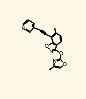 Cc1coc(Oc2noc3c(C#Cc4cccnc4)c(C)ccc23)n1